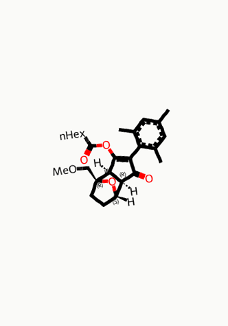 CCCCCCC(=O)OC1=C(c2c(C)cc(C)cc2C)C(=O)[C@H]2[C@@H]3CC[C@@](COC)(O3)[C@@H]12